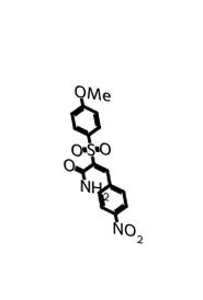 COc1ccc(S(=O)(=O)C(=Cc2ccc([N+](=O)[O-])cc2)C(N)=O)cc1